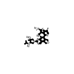 CC(C)NC1CN(c2ncc3c4c(c(-c5ncc(F)c6sc(N)c(C#N)c56)c(F)c3n2)COC4)CC1(C)O